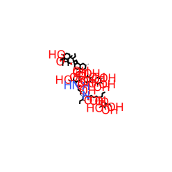 CCC1C2(C)CCC(O)C(C)(C=O)[C@@H]2CC[C@@]12C=C1C3C[C@H](C)CCC3(C(=O)O[C@@H]3O[C@H](CO)C(NC(=O)C[C@@H](O)C[C@H](NC(=O)C[C@@H](O)C[C@H](O[C@@H]4O[C@@H](CO)C(O)C4O)[C@@H](C)CC)[C@@H](C)CC)C(O)C3O[C@@H]3O[C@H](C)C(O[C@@H]4OC[C@@H](O)C(O)C4O)C(O)C3O)[C@H](O)C[C@]12C